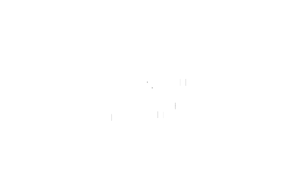 CC(C)CN(C(C)C)C1CC1